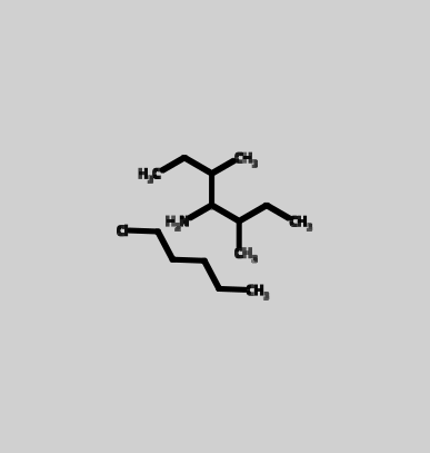 CCC(C)[C](N)C(C)CC.CCCCCCl